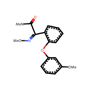 CNC(=O)C(=NOC)c1ccccc1Oc1cccc(OC)c1